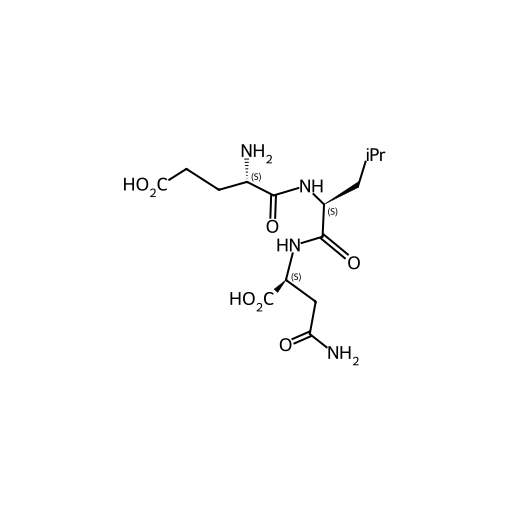 CC(C)C[C@H](NC(=O)[C@@H](N)CCC(=O)O)C(=O)N[C@@H](CC(N)=O)C(=O)O